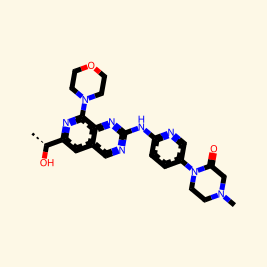 C[C@@H](O)c1cc2cnc(Nc3ccc(N4CCN(C)CC4=O)cn3)nc2c(N2CCOCC2)n1